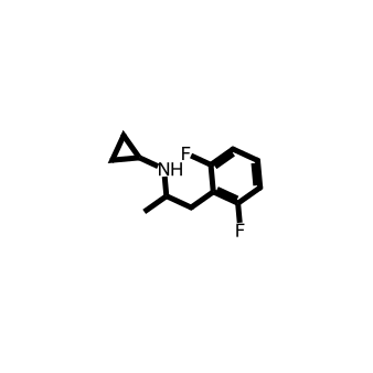 CC(Cc1c(F)cccc1F)NC1CC1